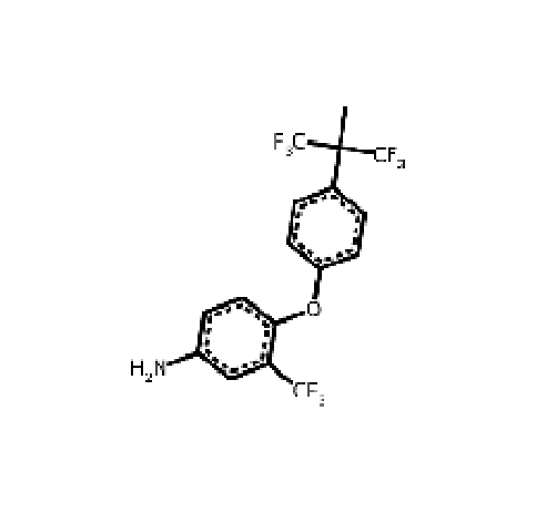 CC(c1ccc(Oc2ccc(N)cc2C(F)(F)F)cc1)(C(F)(F)F)C(F)(F)F